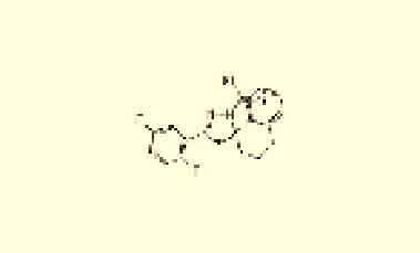 CCC(=O)N1N=C(c2cc(F)ccc2F)SC12CCCc1ccccc12